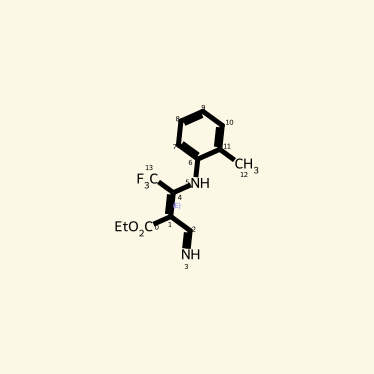 CCOC(=O)/C(C=N)=C(/Nc1ccccc1C)C(F)(F)F